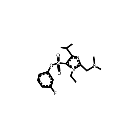 CCn1c(CN(C)C)nc(C(C)C)c1S(=O)(=O)Oc1cccc(F)c1